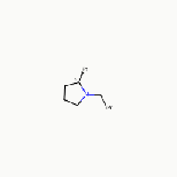 CC[C@@H]1CCCN1CC(C)C